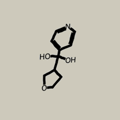 OC(O)(c1ccncc1)C1CCOC1